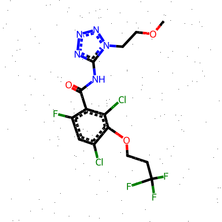 COCCn1nnnc1NC(=O)c1c(F)cc(Cl)c(OCCC(F)(F)F)c1Cl